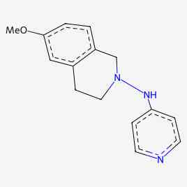 COc1ccc2c(c1)CCN(Nc1ccncc1)C2